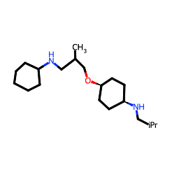 CC(C)CN[C@H]1CC[C@@H](OCC(C)CNC2CCCCC2)CC1